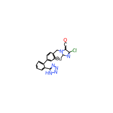 CCCCC1N=C(Cl)C(=C=O)N1Cc1ccc(-c2ccccc2-c2nnn[nH]2)cc1